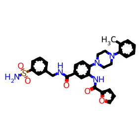 Cc1ccccc1N1CCN(c2ccc(C(=O)NCc3cccc(S(N)(=O)=O)c3)cc2NC(=O)c2ccco2)CC1